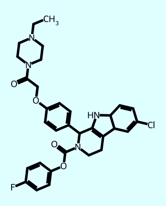 CCN1CCN(C(=O)COc2ccc(C3C4=C(CCN3C(=O)Oc3ccc(F)cc3)C3C=C(Cl)C=CC3N4)cc2)CC1